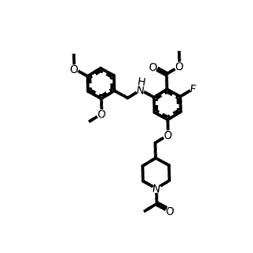 COC(=O)c1c(F)cc(OCC2CCN(C(C)=O)CC2)cc1NCc1ccc(OC)cc1OC